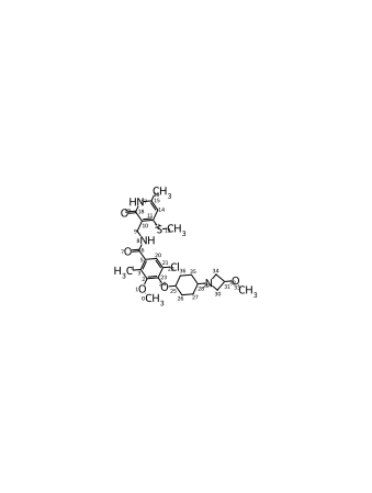 COc1c(C)c(C(=O)NCc2c(SC)cc(C)[nH]c2=O)cc(Cl)c1OC1CCC(N2CC(OC)C2)CC1